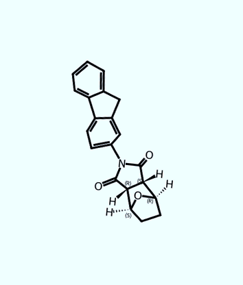 O=C1[C@@H]2[C@H](C(=O)N1c1ccc3c(c1)Cc1ccccc1-3)[C@H]1CC[C@@H]2O1